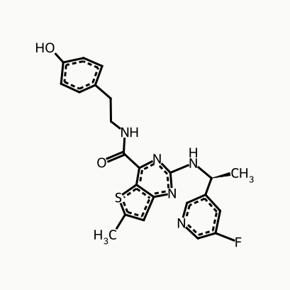 Cc1cc2nc(N[C@@H](C)c3cncc(F)c3)nc(C(=O)NCCc3ccc(O)cc3)c2s1